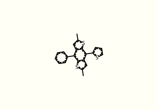 Cc1cc2c(-c3cccs3)c3sc(C)cc3c(-c3ccccc3)c2s1